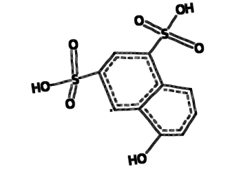 O=S(=O)(O)c1[c]c2c(O)cccc2c(S(=O)(=O)O)c1